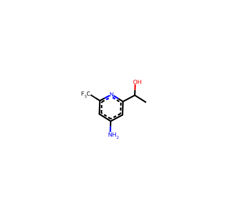 CC(O)c1cc(N)cc(C(F)(F)F)n1